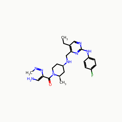 CCc1cnc(Nc2ccc(F)cc2)nc1CN[C@@H]1CCN(C(=O)C(=C/N)/N=N\C)[C@H](C)C1